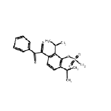 CC(C)c1ccc(C(=O)C(=O)c2ccccc2)c(C(C)C)c1OS(N)(=O)=O